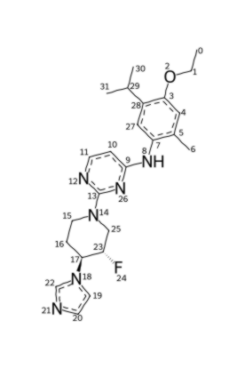 CCOc1cc(C)c(Nc2ccnc(N3CC[C@H](n4ccnc4)[C@@H](F)C3)n2)cc1C(C)C